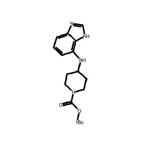 CC(C)(C)OC(=O)N1CCC(Nc2cccc3nc[nH]c23)CC1